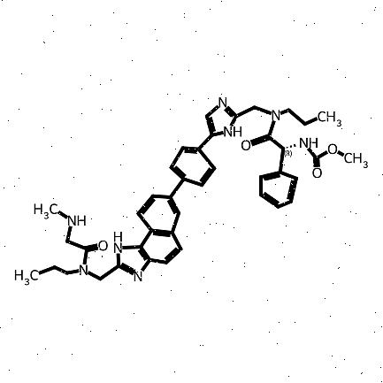 CCCN(Cc1nc2ccc3cc(-c4ccc(-c5cnc(CN(CCC)C(=O)[C@H](NC(=O)OC)c6ccccc6)[nH]5)cc4)ccc3c2[nH]1)C(=O)CNC